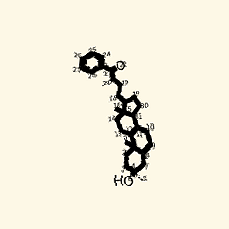 CC12CC[C@](C)(O)CC1=CCC1C2CCC2(C)C(CCCC(=O)c3ccccc3)CCC12